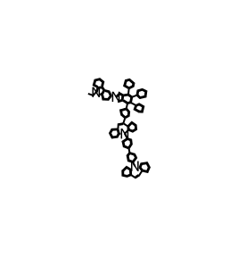 CCn1c2ccccc2c2cc(-n3cc4c(-c5ccccc5)c(-c5ccccc5)c(-c5ccccc5)c(-c5ccc(C6=Cc7ccccc7N(c7ccc(-c8ccc(N9c%10ccccc%10C=Cc%10ccccc%109)cc8)cc7)c7ccccc76)cc5)c4c3)ccc21